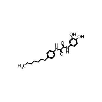 CCCCCCCc1ccc(NC(=O)C(=O)Nc2ccc(O)c(O)c2)cc1